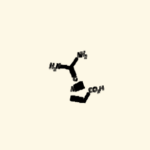 C#N.C=CC(=O)O.NC(N)=O